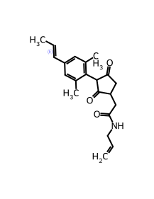 C=CCNC(=O)CC1CC(=O)C(c2c(C)cc(/C=C/C)cc2C)C1=O